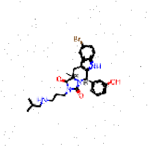 CC(C)CNCCCN1C(=O)N2[C@H](c3cccc(O)c3)c3[nH]c4ccc(Br)cc4c3C[C@@]2(C)C1=O